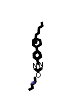 CC/C=C/COc1cnc(-c2ccc(C34CCC(CCCCC)(CC3)CC4)cc2)nc1